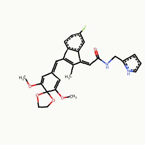 COC1=CC(=CC2=C(C)/C(=C/C(=O)NCc3ccc[nH]3)c3cc(F)ccc32)C=C(OC)C12OCCO2